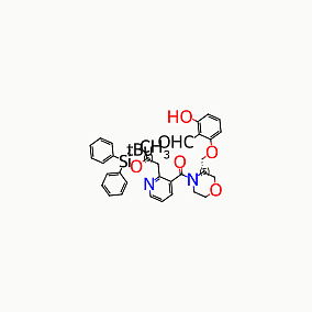 C[C@@H](Cc1ncccc1C(=O)N1CCOC[C@H]1COc1cccc(O)c1C=O)O[Si](c1ccccc1)(c1ccccc1)C(C)(C)C